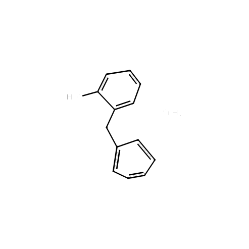 Cc1ccccc1Cc1ccccc1.[SnH4]